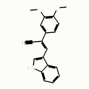 COc1ccc(/C(C#N)=C/c2c[nH]c3ccccc23)cc1OC